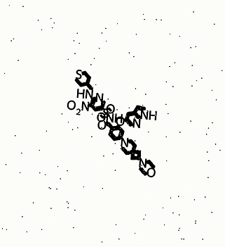 O=C(NS(=O)(=O)c1cnc(NCC2CCSCC2)c([N+](=O)[O-])c1)c1ccc(N2CCC3(CC2)CC(N2CCOCC2)C3)cc1Oc1cnc2[nH]ccc2c1